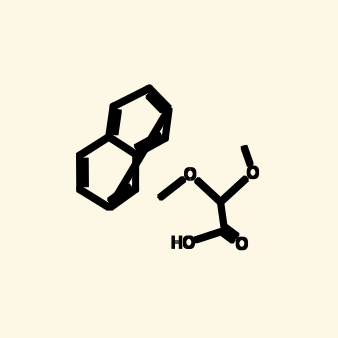 COC(OC)C(=O)O.c1cc2ccc3cc2cc1-3